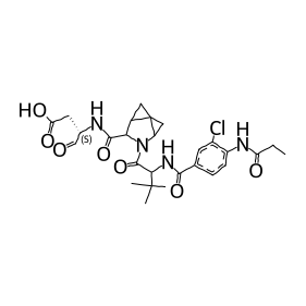 CCC(=O)Nc1ccc(C(=O)NC(C(=O)N2C(C(=O)N[C@H](C=O)CC(=O)O)C3CC34CC24)C(C)(C)C)cc1Cl